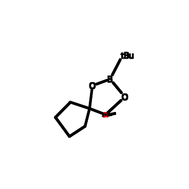 CC(C)(C)B1OC2(CCCC2)C2(CCCC2)O1